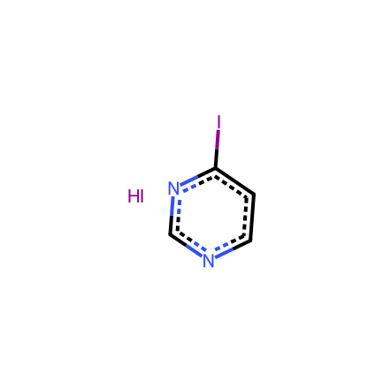 I.Ic1ccncn1